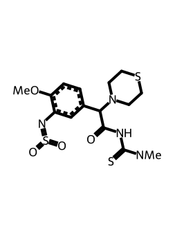 CNC(=S)NC(=O)C(c1ccc(OC)c(N=S(=O)=O)c1)N1CCSCC1